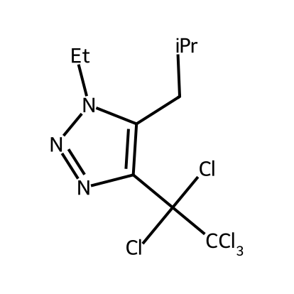 CCn1nnc(C(Cl)(Cl)C(Cl)(Cl)Cl)c1CC(C)C